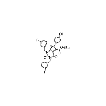 CC(C)(C)OC(=O)n1c(-c2ccc(O)cc2)nc2c1c(=O)n(Cc1cccc(F)c1)c(=O)n2Cc1cccc(F)c1